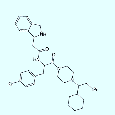 CC(C)CC(C1CCCCC1)N1CCN(C(=O)C(Cc2ccc(Cl)cc2)NC(=O)CC2NCc3ccccc32)CC1